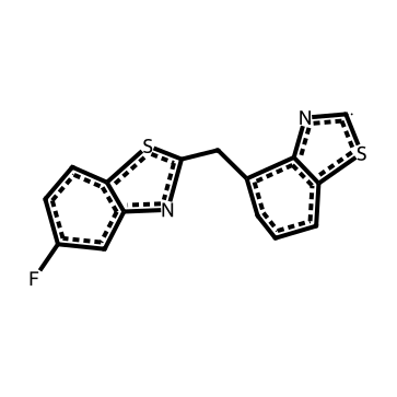 Fc1ccc2sc(Cc3cccc4s[c]nc34)nc2c1